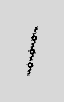 C=CCOCc1ccc(CCCCc2ccc(CCCC[C@H]3CC[C@H](CC=CC)CC3)cc2)cc1